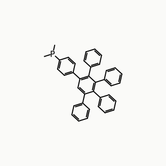 CP(C)c1ccc(-c2cc(-c3ccccc3)c(-c3ccccc3)c(-c3ccccc3)c2-c2ccccc2)cc1